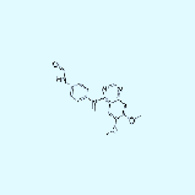 COc1cc2ncnc(Nc3ccc(NC=O)cc3)c2cc1OC